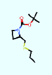 CCCSCC1CCN1C(=O)OC(C)(C)C